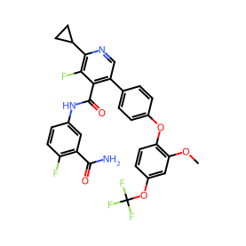 COc1cc(OC(F)(F)F)ccc1Oc1ccc(-c2cnc(C3CC3)c(F)c2C(=O)Nc2ccc(F)c(C(N)=O)c2)cc1